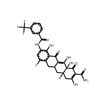 NC(=O)C1=C(O)C[C@@H]2CC3Cc4c(F)cc(NC(=O)c5cccc(C(F)(F)F)c5)c(O)c4C(=O)C3=C(O)[C@]2(O)C1=O